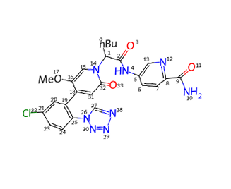 CCCCC(C(=O)Nc1ccc(C(N)=O)nc1)n1cc(OC)c(-c2cc(Cl)ccc2-n2cnnn2)cc1=O